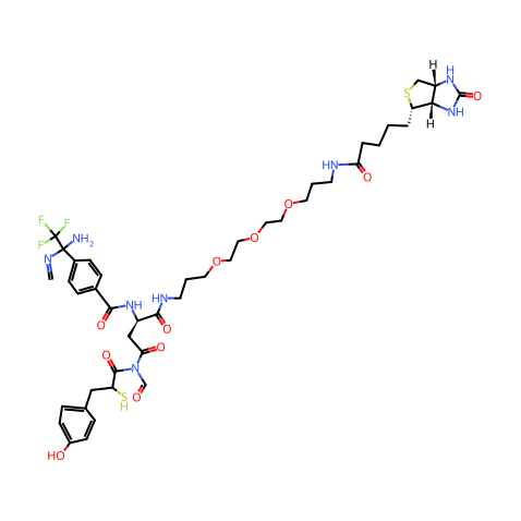 C=NC(N)(c1ccc(C(=O)N[C@H](CC(=O)N(C=O)C(=O)C(S)Cc2ccc(O)cc2)C(=O)NCCCOCCOCCOCCCNC(=O)CCCC[C@@H]2SC[C@@H]3NC(=O)N[C@@H]32)cc1)C(F)(F)F